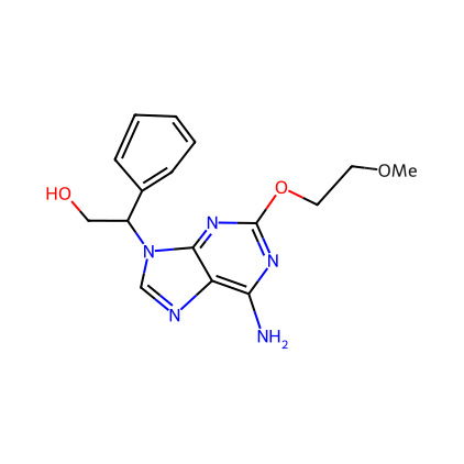 COCCOc1nc(N)c2ncn(C(CO)c3ccccc3)c2n1